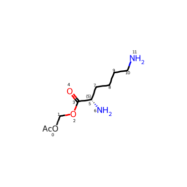 CC(=O)OCOC(=O)[C@@H](N)CCCCN